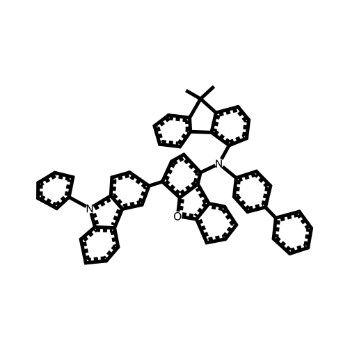 CC1(C)c2ccccc2-c2c(N(c3ccc(-c4ccccc4)cc3)c3ccc(-c4ccc5c(c4)c4ccccc4n5-c4ccccc4)c4oc5ccccc5c34)cccc21